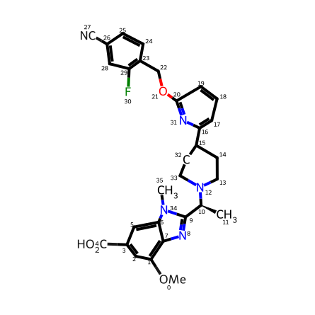 COc1cc(C(=O)O)cc2c1nc([C@H](C)N1CCC(c3cccc(OCc4ccc(C#N)cc4F)n3)CC1)n2C